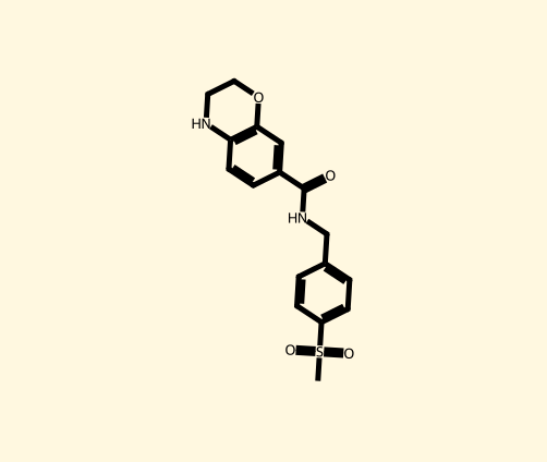 CS(=O)(=O)c1ccc(CNC(=O)c2ccc3c(c2)OCCN3)cc1